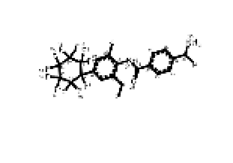 CCc1cc(C2(F)C(F)(F)C(F)(F)C(F)(F)C(F)(F)C2(F)F)cc(C)c1NC(=O)c1ccc(C(C)N)cc1